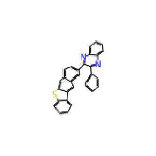 c1ccc(-c2nc3ccccc3nc2-c2ccc3cc4sc5ccccc5c4cc3c2)cc1